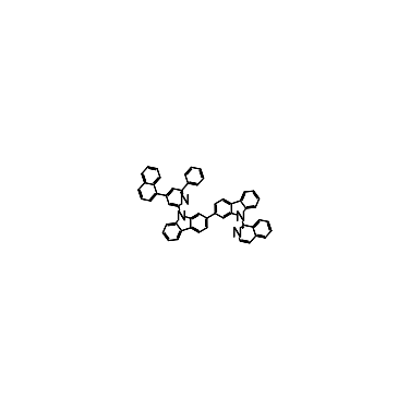 c1ccc(-c2cc(-c3cccc4ccccc34)cc(-n3c4ccccc4c4ccc(-c5ccc6c7ccccc7n(-c7nccc8ccccc78)c6c5)cc43)n2)cc1